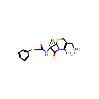 CC(=O)OCC1=C(C(=O)O)N2C(=O)[C@@](NC(=O)COc3ccccc3)(C(=O)O)[C@H]2SC1